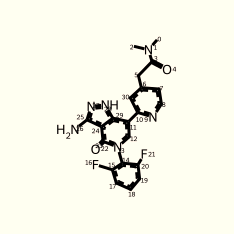 CN(C)C(=O)Cc1ccnc(-c2cn(-c3c(F)cccc3F)c(=O)c3c(N)n[nH]c23)c1